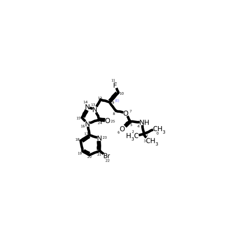 CC(C)(C)NC(=O)OC/C(=C/F)Cn1ncn(-c2cccc(Br)n2)c1=O